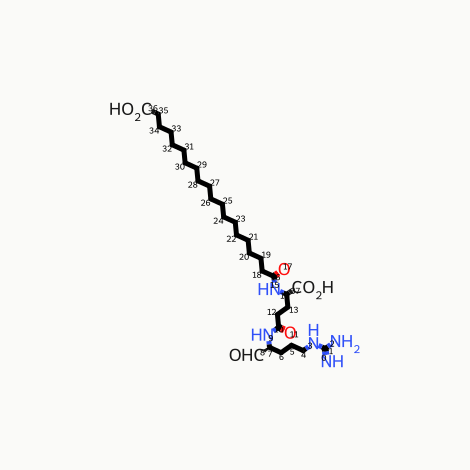 N=C(N)NCCC[C@@H](C=O)NC(=O)CCC(NC(=O)CCCCCCCCCCCCCCCCCCC(=O)O)C(=O)O